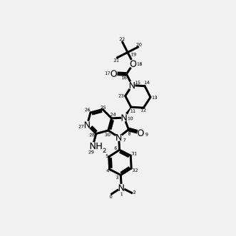 CN(C)c1ccc(-n2c(=O)n([C@@H]3CCCN(C(=O)OC(C)(C)C)C3)c3ccnc(N)c32)cc1